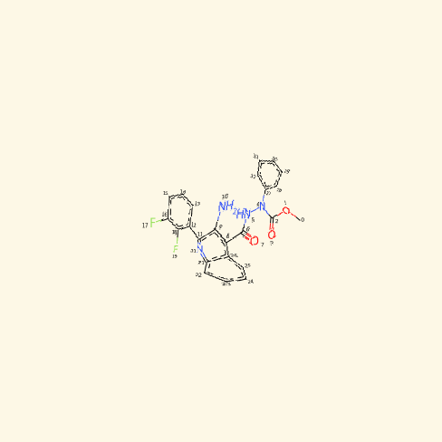 COC(=O)N(NC(=O)c1c(N)c(-c2cccc(F)c2F)nc2ccccc12)c1ccccc1